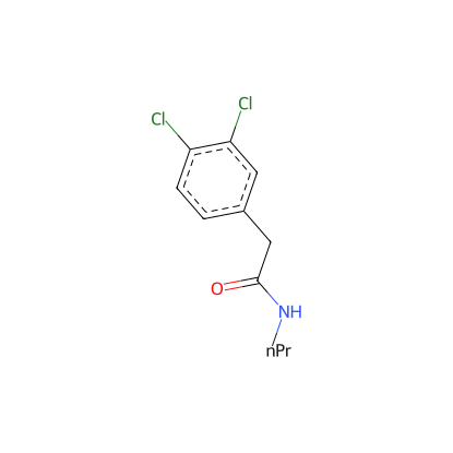 CCCNC(=O)Cc1ccc(Cl)c(Cl)c1